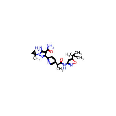 CC(C(=O)Nc1cc(C(C)(C)C)on1)c1ccc(-c2nn(C3(C)CC3)c(N)c2C(N)=O)nc1